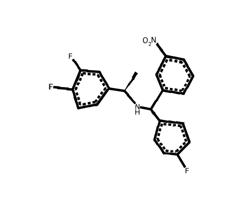 C[C@@H](NC(c1ccc(F)cc1)c1cccc([N+](=O)[O-])c1)c1ccc(F)c(F)c1